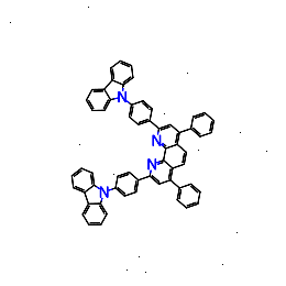 c1ccc(-c2cc(-c3ccc(-n4c5ccccc5c5ccccc54)cc3)nc3c2ccc2c(-c4ccccc4)cc(-c4ccc(-n5c6ccccc6c6ccccc65)cc4)nc23)cc1